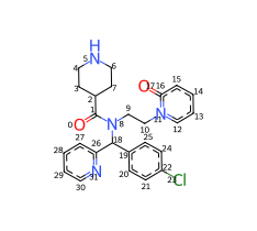 O=C(C1CCNCC1)N(CCn1ccccc1=O)C(c1ccc(Cl)cc1)c1ccccn1